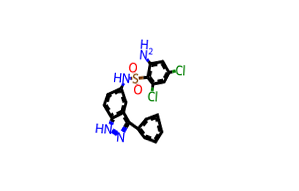 Nc1cc(Cl)cc(Cl)c1S(=O)(=O)Nc1ccc2[nH]nc(-c3ccccc3)c2c1